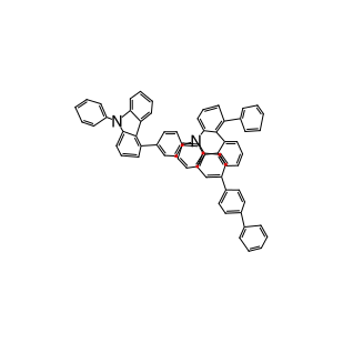 c1ccc(-c2ccc(-c3ccc(N(c4ccc(-c5cccc6c5c5ccccc5n6-c5ccccc5)cc4)c4cccc(-c5ccccc5)c4-c4ccccc4-c4ccccc4)cc3)cc2)cc1